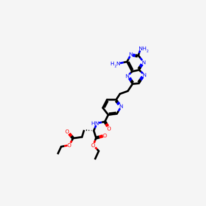 CCOC(=O)CC[C@H](NC(=O)c1ccc(CCc2cnc3nc(N)nc(N)c3n2)nc1)C(=O)OCC